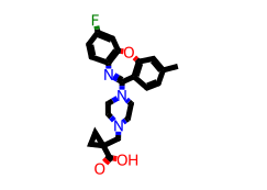 Cc1ccc2c(c1)Oc1cc(F)ccc1N=C2N1CCN(CC2(C(=O)O)CC2)CC1